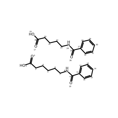 O=C(O)CCCCCNC(=O)c1ccccc1.O=C(O)CCCCNC(=O)c1ccccc1